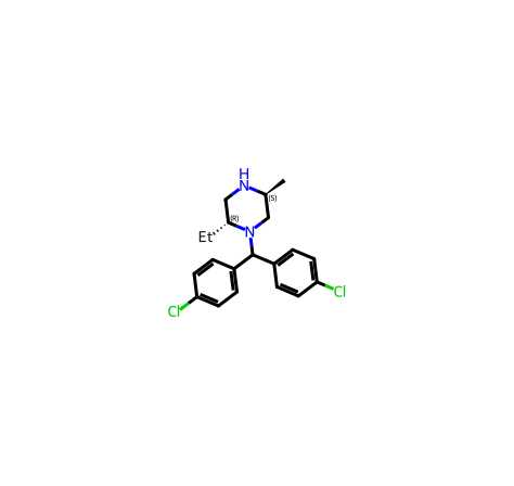 CC[C@@H]1CN[C@@H](C)CN1C(c1ccc(Cl)cc1)c1ccc(Cl)cc1